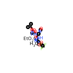 CCOC(=O)n1nc2c(c1NC(=O)c1ccc(N3CCOCC3)cc1NC(=O)[C@@H]1CCCN1C(=O)OCC1c3ccccc3-c3ccccc31)CN(S(=O)(=O)c1cc(F)cc(F)c1)C2(C)C